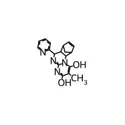 CC1=C(O)N2C(=NC(c3ccccn3)C3C4C=CC(C4)C32)N=C1O